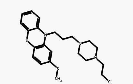 CSc1ccc2c(c1)N(CCCN1CCN(CCCl)CC1)c1ccccc1S2